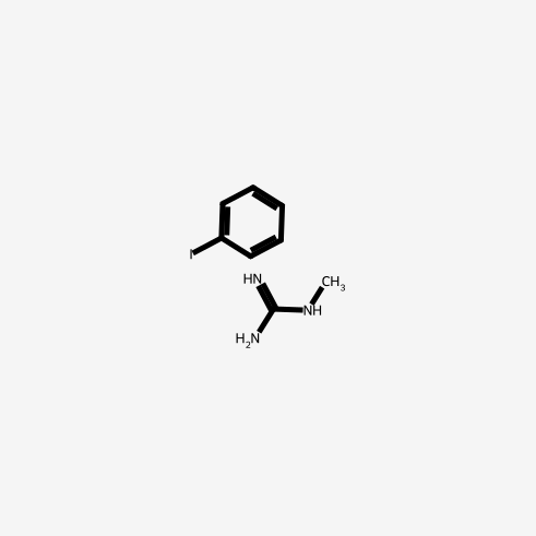 CNC(=N)N.Ic1ccccc1